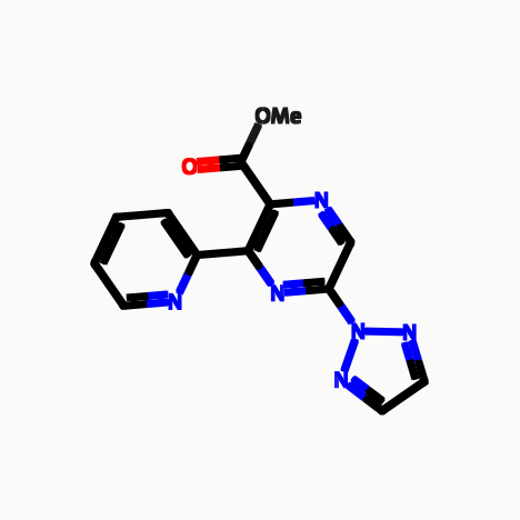 COC(=O)c1ncc(-n2nccn2)nc1-c1ccccn1